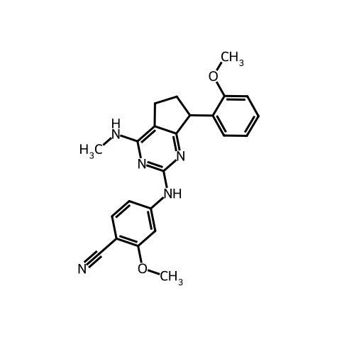 CNc1nc(Nc2ccc(C#N)c(OC)c2)nc2c1CCC2c1ccccc1OC